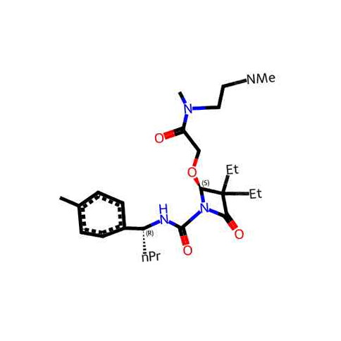 CCC[C@@H](NC(=O)N1C(=O)C(CC)(CC)[C@@H]1OCC(=O)N(C)CCNC)c1ccc(C)cc1